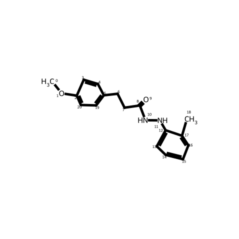 COc1ccc(CCC(=O)NNc2ccccc2C)cc1